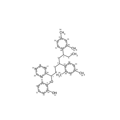 CCC(CC(CCC(Oc1ccccc1O)c1ncncn1)c1ccc(C)cc1C)c1ccc(C)cc1C